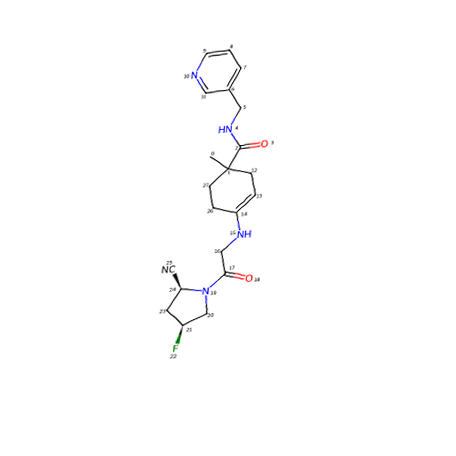 CC1(C(=O)NCc2cccnc2)CC=C(NCC(=O)N2C[C@@H](F)C[C@H]2C#N)CC1